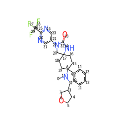 CN(CC1CCOC1)C1(c2ccccc2)CCC2(CC1)CN(c1cnc(C(F)(F)F)nc1)C(=O)N2